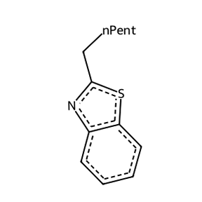 [CH2]CCCCCc1nc2ccccc2s1